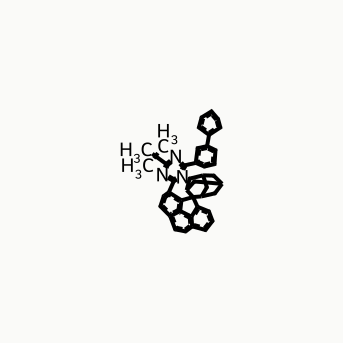 CC(C)(C)c1nc(-c2cccc(-c3ccccc3)c2)nc(-c2ccc3ccc4cccc5c4c3c2C52C3CC4CC(C3)CC2C4)n1